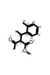 COC(=O)C(C(C)=O)C(C)c1ccccc1C